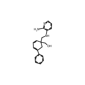 Nc1ncccc1NCC1(CO)C=CC=C(c2ccccc2)C1